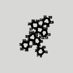 c1ccc(-c2ccc3c(-c4c5ccccc5c(-c5ccccc5)c5ccccc45)ccc(-c4ccccc4)c3c2)cc1